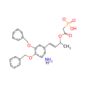 CC(/C=C/c1ccc(OCc2ccccc2)c(OCc2ccccc2)c1)OC(=O)CP(=O)([O-])O.N.[H+]